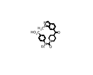 CCN(C(=O)N1CCC(C(=O)c2ccc3cnn(C)c3c2)CC1)c1ccc(C(=O)O)cc1